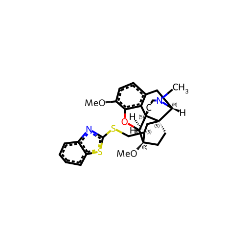 COc1ccc2c3c1O[C@H]1[C@@]4(OC)CC[C@@]5(C[C@@H]4CSc4nc6ccccc6s4)[C@@H](C2)N(C)CC[C@]315